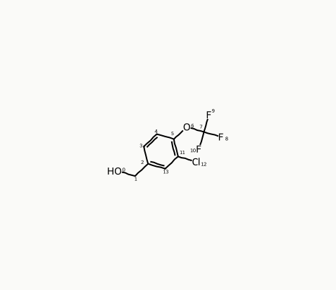 OCc1ccc(OC(F)(F)F)c(Cl)c1